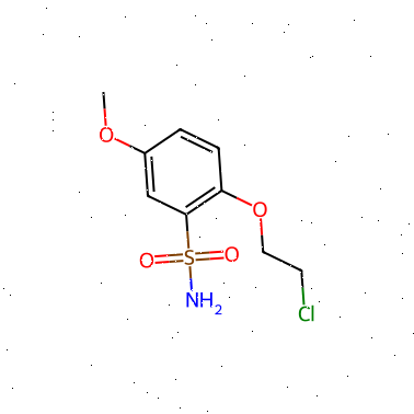 COc1ccc(OCCCl)c(S(N)(=O)=O)c1